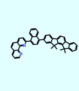 CC1(C)c2ccccc2-c2ccc3c(c21)C(C)(C)c1cc(-c2ccc(-c4ccc5ccc6cccnc6c5n4)c4ccccc24)ccc1-3